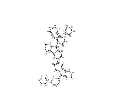 c1ccc(-c2cccc(-n3c4ccccc4c4cc(-c5ccc6c(c5)c5ccccc5n6-c5ccc(-c6ccccc6)c6c5oc5ccccc56)ccc43)c2)cc1